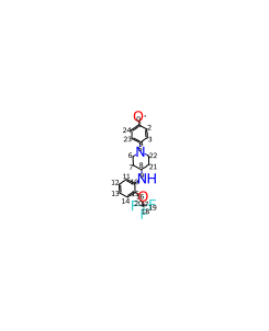 [O]c1ccc(N2CCC(Nc3ccccc3OC(F)(F)F)CC2)cc1